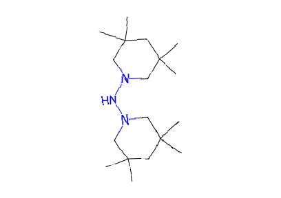 CC1(C)CN(NN2CC(C)(C)CC(C)(C)C2)CC(C)(C)C1